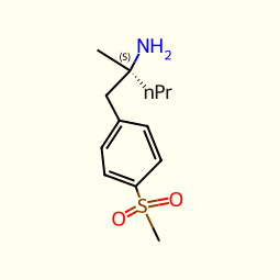 CCC[C@](C)(N)Cc1ccc(S(C)(=O)=O)cc1